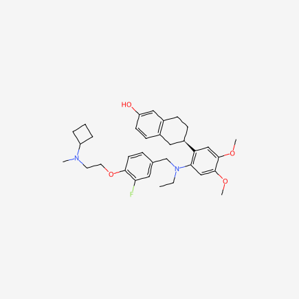 CCN(Cc1ccc(OCCN(C)C2CCC2)c(F)c1)c1cc(OC)c(OC)cc1[C@@H]1CCc2cc(O)ccc2C1